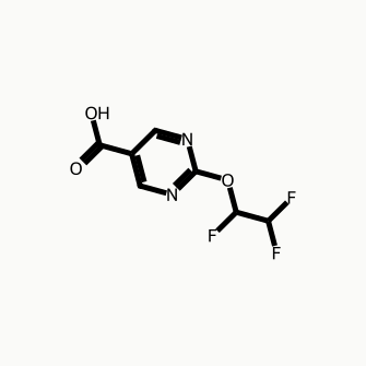 O=C(O)c1cnc(OC(F)C(F)F)nc1